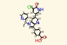 C[C@@H](c1ccccn1)n1cc(-c2ccc(C(=O)O)cc2)c2ncc(-c3c[nH]c(=O)c(Cl)c3)cc21